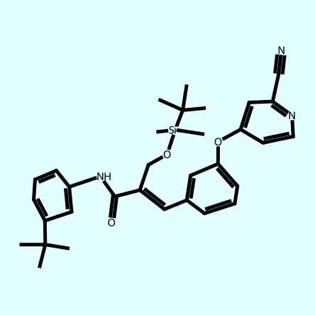 CC(C)(C)c1cccc(NC(=O)C(=Cc2cccc(Oc3ccnc(C#N)c3)c2)CO[Si](C)(C)C(C)(C)C)c1